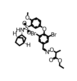 CCOC(=O)C(C)O/N=C\c1cc(Br)c(Oc2ccc(OC)c(S(=O)(=O)N[C@@H]3C[C@H]4CC[C@@H]3C4)c2)c(Br)c1